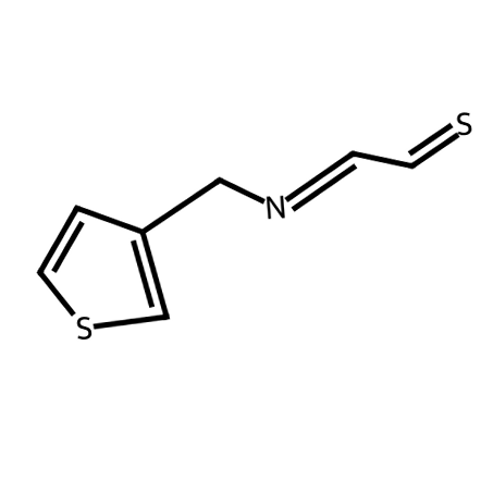 S=CC=NCc1ccsc1